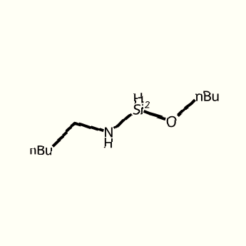 CCCCCN[SiH2]OCCCC